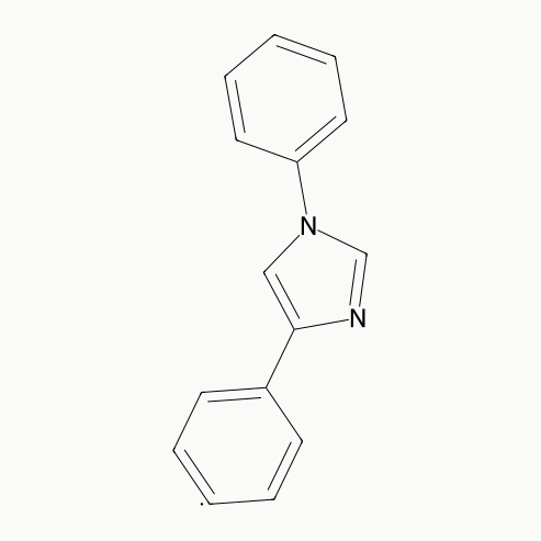 [c]1ccc(-c2cn(-c3ccccc3)cn2)cc1